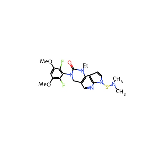 CCN1C(=O)N(c2c(F)c(OC)cc(OC)c2F)Cc2cnc3c(ccn3SN(C)C)c21